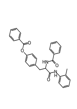 Cc1ccccc1NC(=O)C(Cc1ccc(OC(=O)c2ccccc2)cc1)NC(=O)c1ccccc1